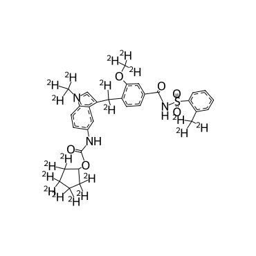 [2H]C([2H])([2H])Oc1cc(C(=O)NS(=O)(=O)c2ccccc2C([2H])([2H])[2H])ccc1C([2H])([2H])c1cn(C([2H])([2H])[2H])c2ccc(NC(=O)OC3C([2H])([2H])C([2H])([2H])C([2H])([2H])C3([2H])[2H])cc12